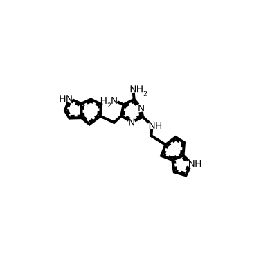 Nc1nc(NCc2ccc3[nH]ccc3c2)nc(Cc2ccc3[nH]ccc3c2)c1N